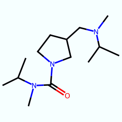 CC(C)N(C)CC1CCN(C(=O)N(C)C(C)C)C1